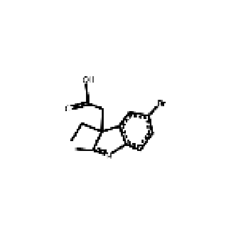 CCC1(CC(=O)O)C(C)=Nc2ccc(Br)cc21